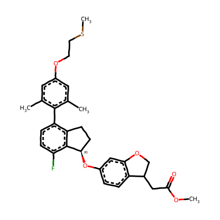 COC(=O)CC1COc2cc(O[C@@H]3CCc4c(-c5c(C)cc(OCCSC)cc5C)ccc(F)c43)ccc21